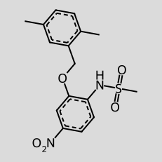 Cc1ccc(C)c(COc2cc([N+](=O)[O-])ccc2NS(C)(=O)=O)c1